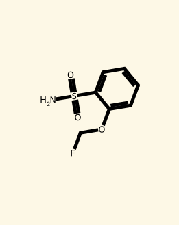 NS(=O)(=O)c1ccccc1OCF